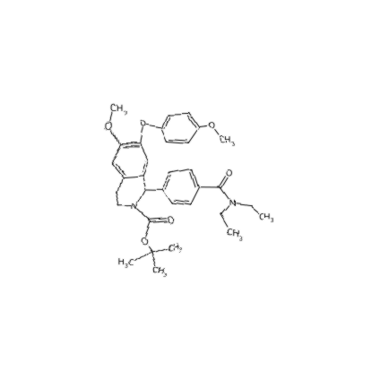 CCN(CC)C(=O)c1ccc(C2c3cc(Oc4ccc(OC)cc4)c(OC)cc3CCN2C(=O)OC(C)(C)C)cc1